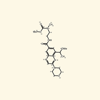 COC(C)c1cc(C(=O)NCCN(C)C(=O)OC(C)(C)C)cc2ncc(N3CCOCC3)nc12